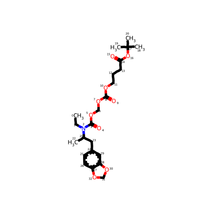 CCN(C(=O)OCOC(=O)OCCCC(=O)OC(C)(C)C)C(C)Cc1ccc2c(c1)OCO2